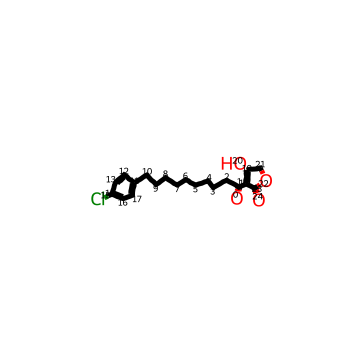 O=C(CCCCCCCCCc1ccc(Cl)cc1)C1=C(O)COC1=O